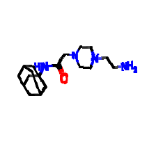 NCCN1CCN(CC(=O)NC23CC4CC(CC(C4)C2)C3)CC1